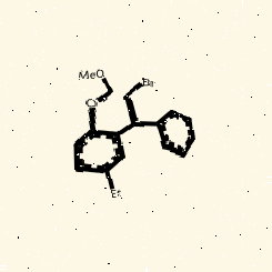 CCc1ccc(OCOC)c(C(=CBr)c2ccccc2)c1